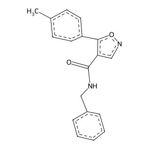 Cc1ccc(-c2oncc2C(=O)NCc2ccccc2)cc1